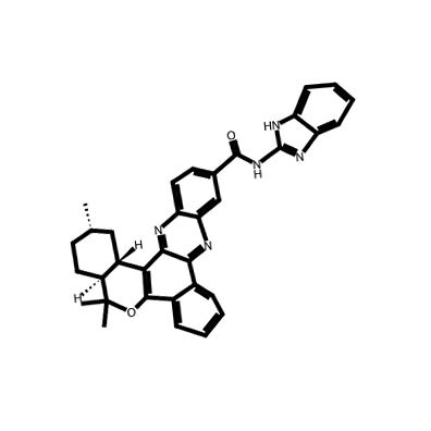 C[C@H]1CC[C@H]2[C@H](C1)c1c(c3ccccc3c3nc4cc(C(=O)Nc5nc6ccccc6[nH]5)ccc4nc13)OC2(C)C